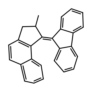 CC1Cc2ccc3ccccc3c2C1=C1c2ccccc2-c2ccccc21